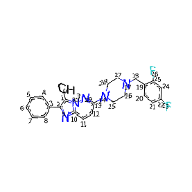 Cc1c(-c2ccccc2)nc2ccc(N3CCN(Cc4ccc(F)cc4F)CC3)nn12